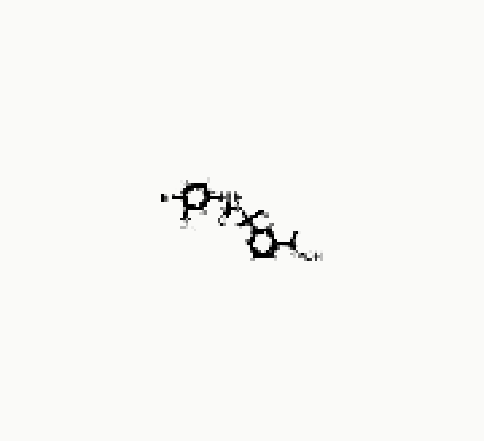 C/C(=N\O)c1cccc(C(C)(C)NC(=O)Nc2ccc(Br)c(C(F)(F)F)c2)c1